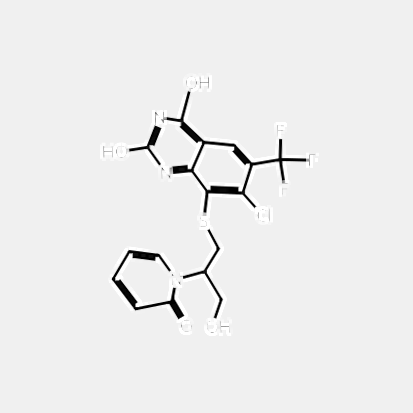 O=c1ccccn1C(CO)CSc1c(Cl)c(C(F)(F)F)cc2c(O)nc(O)nc12